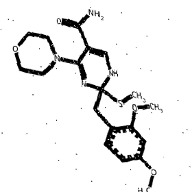 COc1ccc(CC2(SC)N=C(N3CCOCC3)C(C(N)=O)=CN2)c(OC)c1